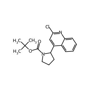 CC(C)(C)OC(=O)N1CCCC1c1cc(Cl)nc2ccccc12